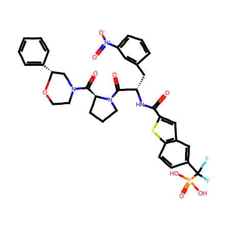 O=C(N[C@@H](Cc1cccc([N+](=O)[O-])c1)C(=O)N1CCC[C@H]1C(=O)N1CCO[C@H](c2ccccc2)C1)c1cc2cc(C(F)(F)P(=O)(O)O)ccc2s1